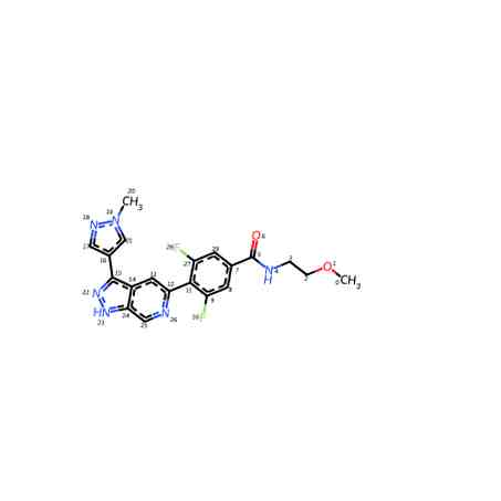 COCCNC(=O)c1cc(F)c(-c2cc3c(-c4cnn(C)c4)n[nH]c3cn2)c(F)c1